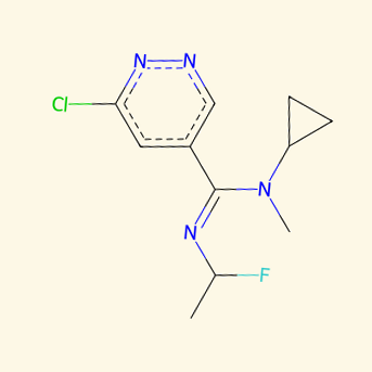 CC(F)/N=C(/c1cnnc(Cl)c1)N(C)C1CC1